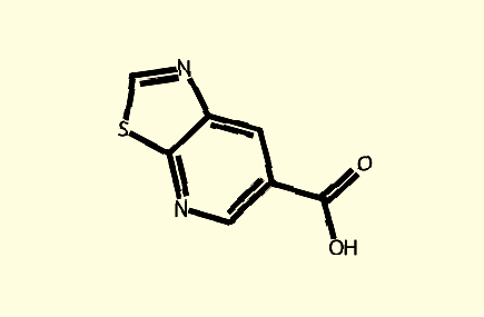 O=C(O)c1cnc2scnc2c1